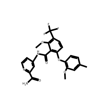 COc1cc(C)ccc1Oc1ccc(C(F)(F)F)c(OC)c1C(=O)Nc1ccnc(C(N)=O)c1